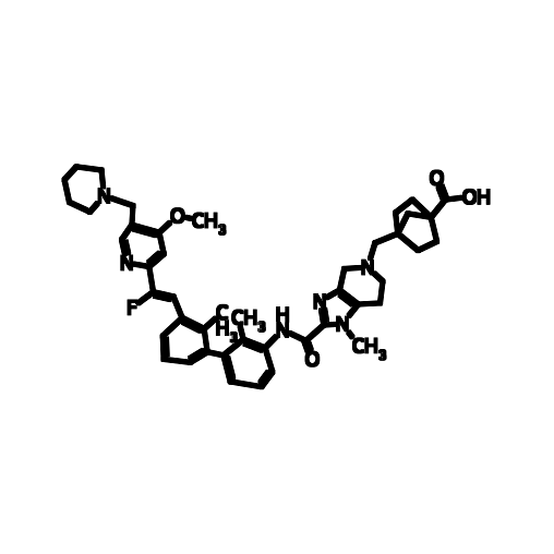 COc1cc(/C(F)=C/c2cccc(-c3cccc(NC(=O)c4nc5c(n4C)CCN(CC46CCC(C(=O)O)(CC4)C6)C5)c3C)c2C)ncc1CN1CCCCC1